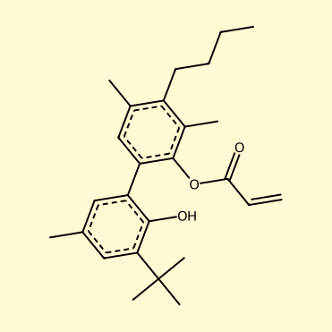 C=CC(=O)Oc1c(-c2cc(C)cc(C(C)(C)C)c2O)cc(C)c(CCCC)c1C